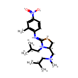 Cc1cc([N+](=O)[O-])ccc1N=C1SCC(CN(C)CC(C)C)N1CC(C)C